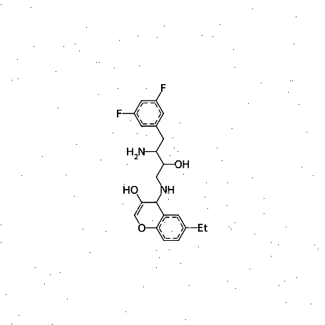 CCc1ccc2c(c1)C(NCC(O)C(N)Cc1cc(F)cc(F)c1)C(O)=CO2